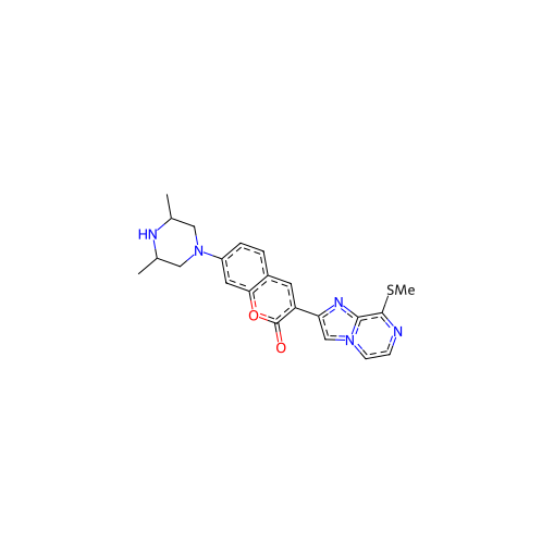 CSc1nccn2cc(-c3cc4ccc(N5CC(C)NC(C)C5)cc4oc3=O)nc12